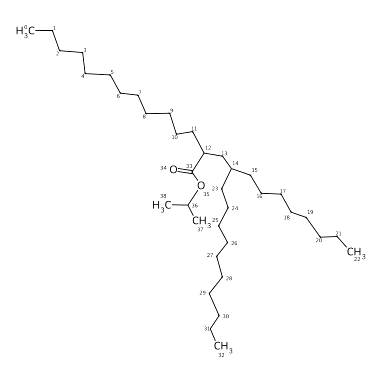 CCCCCCCCCCCCC(CC(CCCCCCCC)CCCCCCCCCC)C(=O)OC(C)C